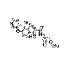 CC(C)(C)OC(=O)C(C)(C)CNC(=O)c1nc(C#N)c2cc(Oc3cccnc3)ccc2c1O